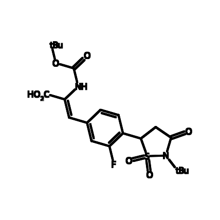 CC(C)(C)OC(=O)NC(=Cc1ccc(C2CC(=O)N(C(C)(C)C)S2(=O)=O)c(F)c1)C(=O)O